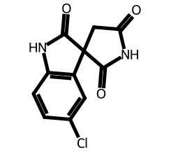 O=C1CC2(C(=O)N1)C(=O)Nc1ccc(Cl)cc12